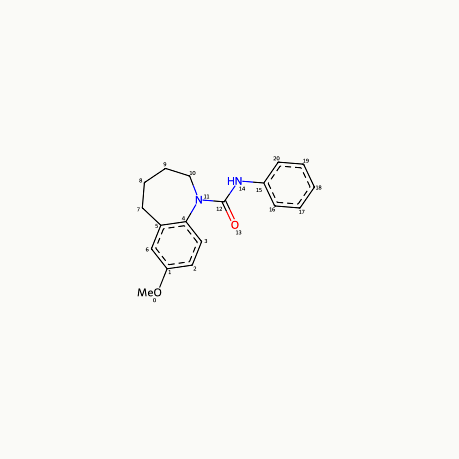 COc1ccc2c(c1)CCCCN2C(=O)Nc1ccccc1